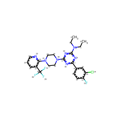 CCN(CC)c1nc(-c2ccc(F)c(Cl)c2)nc(N2CCN(c3ncccc3C(F)(F)F)CC2)n1